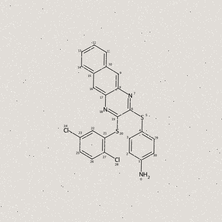 Nc1ccc(Sc2nc3cc4ccccc4cc3nc2Sc2cc(Cl)ccc2Cl)cc1